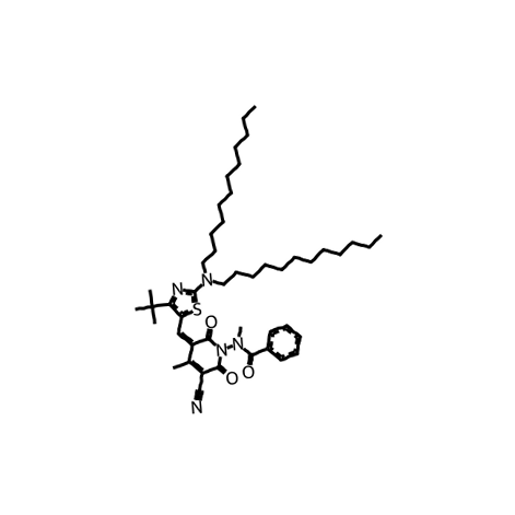 CCCCCCCCCCCCN(CCCCCCCCCCCC)c1nc(C(C)(C)C)c(/C=C2\C(=O)N(N(C)C(=O)c3ccccc3)C(=O)C(C#N)=C2C)s1